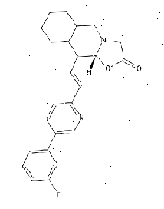 O=C1CN2CC3CCCCC3C(/C=C/c3ccc(-c4cccc(F)c4)cn3)[C@H]2O1